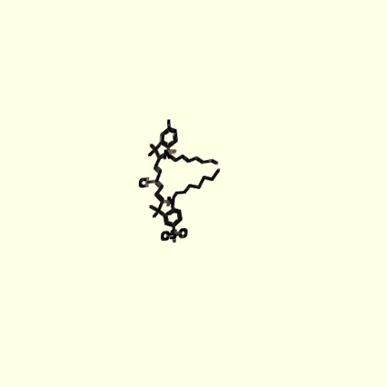 CCCCCCCN1C(=CC=C(Cl)C=CC2=[N+](CCCCCCC)c3ccc(C)cc3C2(C)C)C(C)(C)c2cc(S(C)(=O)=O)ccc21